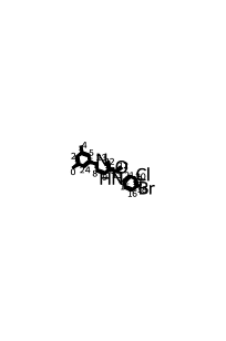 Cc1cc(C)cc(-c2ccc(C(=O)Nc3ccc(Br)c(Cl)c3)cn2)c1